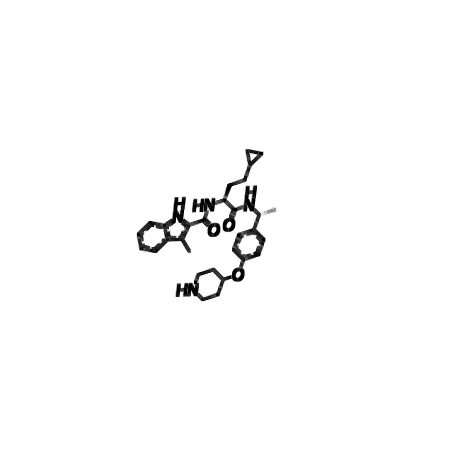 Cc1c(C(=O)N[C@@H](CCC2CC2)C(=O)N[C@H](C)c2ccc(OC3CCNCC3)cc2)[nH]c2ccccc12